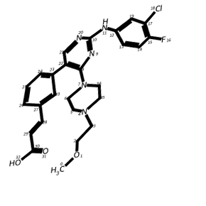 COCCN1CCN(c2nc(Nc3ccc(F)c(Cl)c3)ncc2-c2cccc(/C=C/C(=O)O)c2)CC1